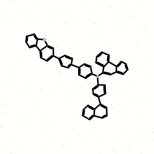 c1ccc2c(-c3ccc(N(c4ccc(-c5ccc(-c6ccc7c(c6)oc6ccccc67)cc5)cc4)c4cc5ccccc5c5ccccc45)cc3)cccc2c1